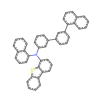 c1cc(-c2cccc(N(c3cccc4ccccc34)c3cccc4c3sc3ccccc34)c2)cc(-c2cccc3ccccc23)c1